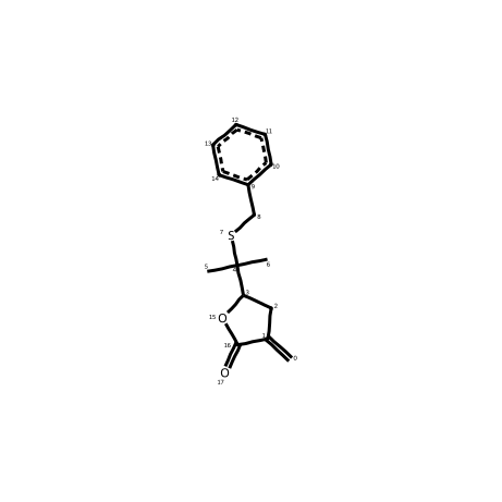 C=C1CC(C(C)(C)SCc2ccccc2)OC1=O